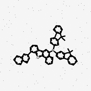 CC1(C)c2ccccc2-c2ccc(N(c3ccc4c(c3)C(C)(C)c3ccccc3-4)c3cc4c5cccc(-c6ccc7ccccc7c6)c5oc4c4ccccc34)cc21